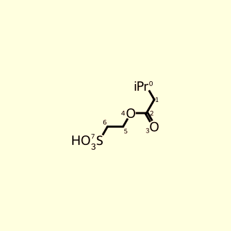 CC(C)CC(=O)OCCS(=O)(=O)O